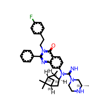 C[C@@H]1[C@@H](N(C(=N)N2CCN[C@@H](C)C2)c2ccc3c(=O)n(CCc4ccc(F)cc4)c(-c4ccccc4)nc3c2)C[C@H]2C[C@@H]1C2(C)C